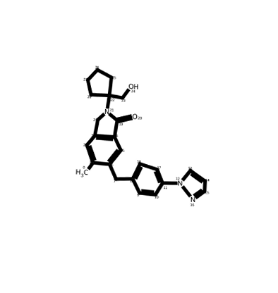 Cc1cc2c(cc1Cc1ccc(-n3cccn3)cc1)C(=O)N(C1(CO)CCCC1)C2